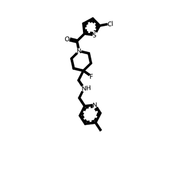 Cc1ccc(CNCC2(F)CCN(C(=O)c3ccc(Cl)s3)CC2)nc1